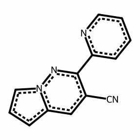 N#Cc1cc2cccn2nc1-c1ccccn1